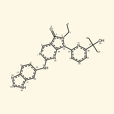 CCn1c(=O)c2cnc(Nc3ccc4nn[nH]c4c3)nc2n1-c1cccc(C(C)(C)O)n1